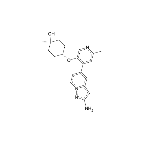 Cc1cc(-c2ccn3nc(N)cc3c2)c(O[C@H]2CC[C@](C)(O)CC2)cn1